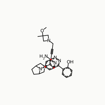 COC1(C)CN(CC#Cc2cc(N3C4CCC3CN(c3cc(-c5ccccc5O)nnc3N)C4)ccn2)C1